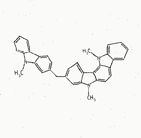 Cn1c2ccccc2c2ccc(Cc3ccc4c5c(ccc6c7ccccc7n(C)c65)n(C)c4c3)cc21